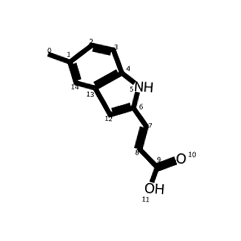 Cc1ccc2[nH]c(C=CC(=O)O)cc2c1